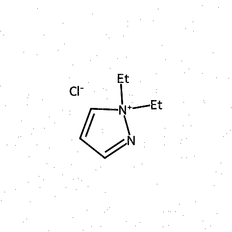 CC[N+]1(CC)C=CC=N1.[Cl-]